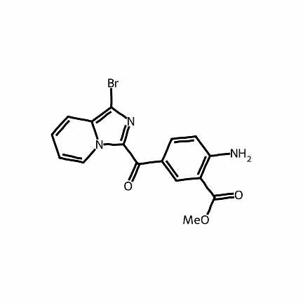 COC(=O)c1cc(C(=O)c2nc(Br)c3ccccn23)ccc1N